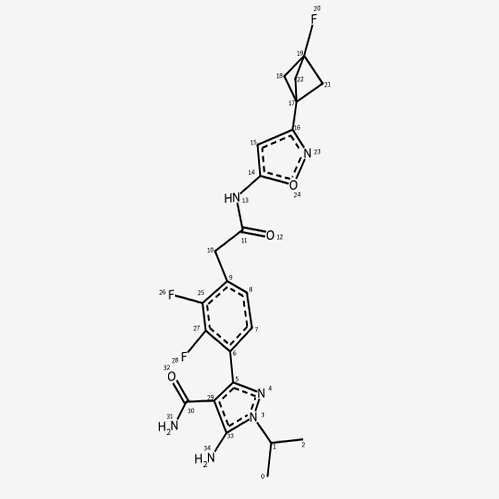 CC(C)n1nc(-c2ccc(CC(=O)Nc3cc(C45CC(F)(C4)C5)no3)c(F)c2F)c(C(N)=O)c1N